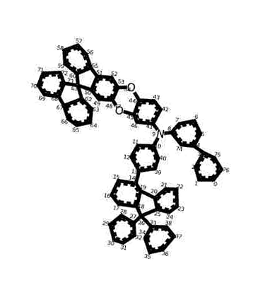 c1ccc(-c2cccc(N(c3ccc(-c4cccc5c4-c4ccccc4C5(c4ccccc4)c4ccccc4)cc3)c3ccc4c(c3)Oc3cc5c(cc3O4)-c3ccccc3C53c4ccccc4-c4ccccc43)c2)cc1